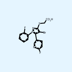 O=C(O)CSc1nn(-c2ccccc2F)c(-c2ccc(F)nc2)c1Br